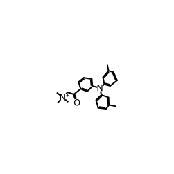 Cc1cccc(N(c2cccc(C)c2)c2cccc(C(=O)C[N+](C)(C)C)c2)c1